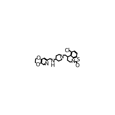 O=c1sc2ccc(Cl)c3c2n1CCC3CN1CCC(NCc2cc3c(cn2)OCCO3)CC1